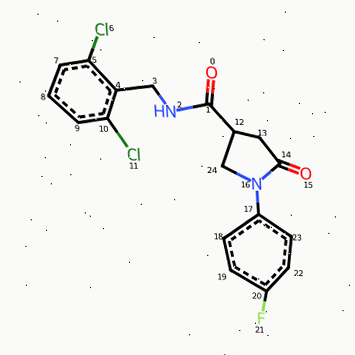 O=C(NCc1c(Cl)cccc1Cl)C1CC(=O)N(c2ccc(F)cc2)C1